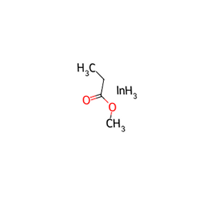 CCC(=O)OC.[InH3]